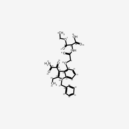 CCOC(=O)C(NC(=O)COc1cccc2c1c(C(=O)C(N)=O)c(CC)n2Cc1ccccc1)C(=O)O